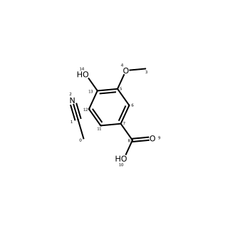 CC#N.COc1cc(C(=O)O)ccc1O